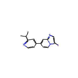 CC(C)c1cc(-c2ccn3c(I)cnc3c2)ccn1